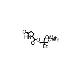 CCC(COC)(COC)COC(=O)C1CCC(=O)N1